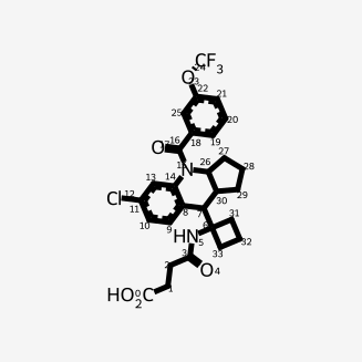 O=C(O)CCC(=O)NC1(C2c3ccc(Cl)cc3N(C(=O)c3cccc(OC(F)(F)F)c3)C3CCCC32)CCC1